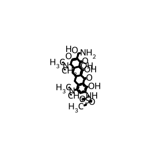 CCS(=O)(=O)Nc1cc(N(C)C)c2c(c1O)C(=O)C1=C(O)C3(O)C(=O)C(C(N)=O)=C(O)[C@@H](N(C)C)C3CC1C2